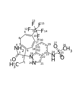 CCC(C(N)=O)(C1=CCC=C(S(F)(F)(F)(F)F)C=C1)n1ncc2c(NS(C)(=O)=O)cccc21